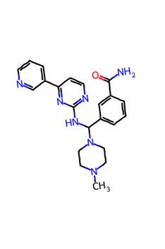 CN1CCN(C(Nc2nccc(-c3cccnc3)n2)c2cccc(C(N)=O)c2)CC1